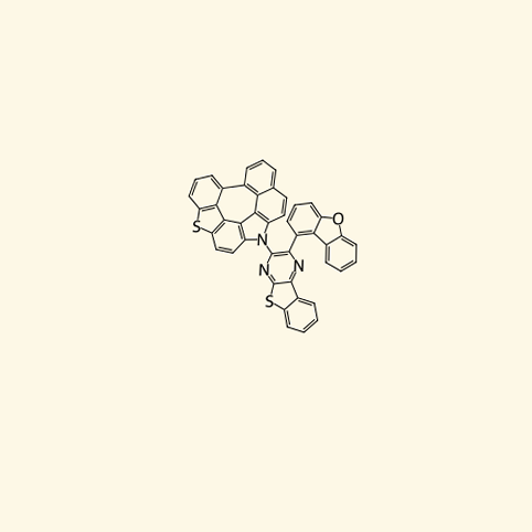 c1cc2c3c(c1)ccc1c3c3c4c(ccc3n1-c1nc3sc5ccccc5c3nc1-c1cccc3oc5ccccc5c13)sc1cccc-2c14